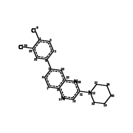 Clc1ccc(-c2ccc3ncc(N4CCCCC4)nc3c2)cc1Cl